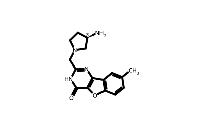 Cc1ccc2oc3c(=O)[nH]c(CN4CC[C@@H](N)C4)nc3c2c1